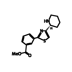 COC(=O)c1cccc(-c2nc([C@H]3CCCCN3)cs2)c1